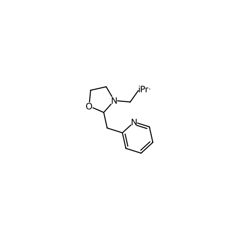 C[C](C)CN1CCOC1Cc1ccccn1